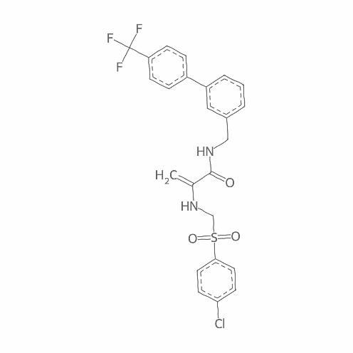 C=C(NCS(=O)(=O)c1ccc(Cl)cc1)C(=O)NCc1cccc(-c2ccc(C(F)(F)F)cc2)c1